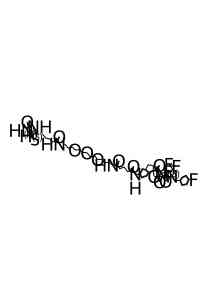 C[C@H](N(Cc1ccc(F)cc1)C(=O)CN1C(=O)OC2(CCc3cc(NC(=O)CCCC(=O)NCCCOCCOCCOCCCNC(=O)CCCC[C@@H]4SC[C@@H]5NC(=O)NC54)ccc32)C1=O)C(F)(F)F